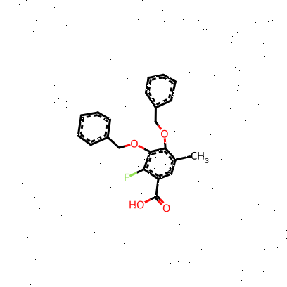 Cc1cc(C(=O)O)c(F)c(OCc2ccccc2)c1OCc1ccccc1